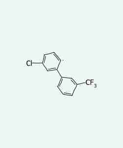 FC(F)(F)c1cccc(-c2[c]ccc(Cl)c2)c1